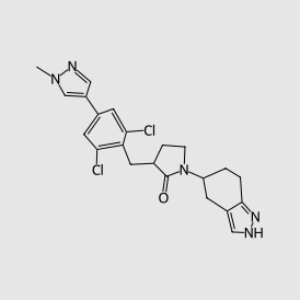 Cn1cc(-c2cc(Cl)c(CC3CCN(C4CCc5n[nH]cc5C4)C3=O)c(Cl)c2)cn1